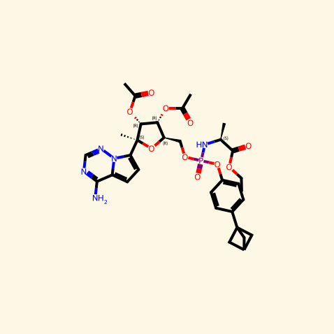 CCOC(=O)[C@H](C)NP(=O)(OC[C@H]1O[C@@](C)(c2ccc3c(N)ncnn23)[C@H](OC(C)=O)[C@@H]1OC(C)=O)Oc1ccc(C23CC(C2)C3)cc1